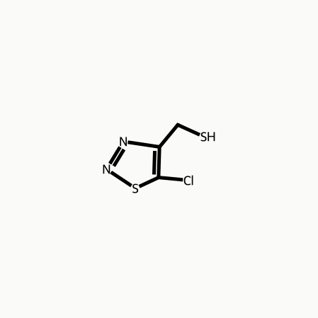 SCc1nnsc1Cl